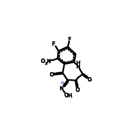 O=C1Nc2cc(F)c(F)c([N+](=O)[O-])c2C(=O)/C(=N/O)C1=O